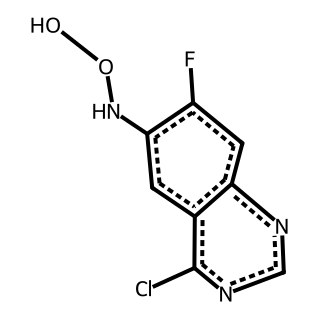 OONc1cc2c(Cl)ncnc2cc1F